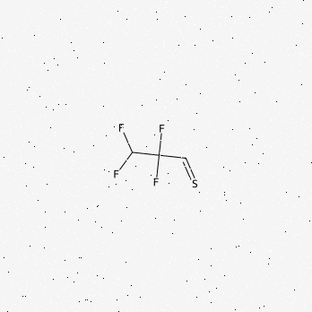 FC(F)C(F)(F)C=S